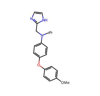 COc1ccc(Oc2ccc(N(Cc3ncc[nH]3)C(C)C)cc2)cc1